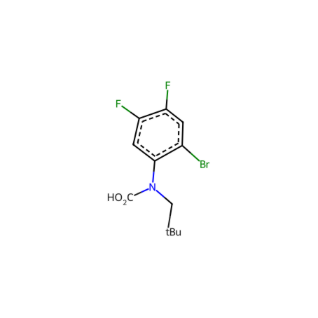 CC(C)(C)CN(C(=O)O)c1cc(F)c(F)cc1Br